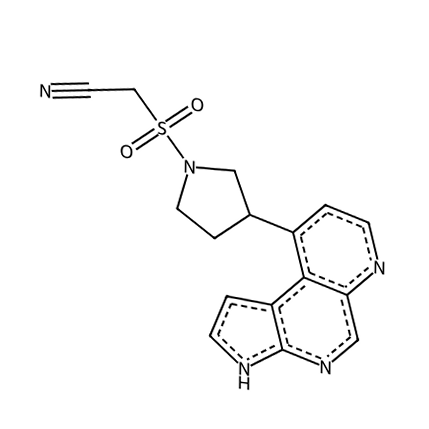 N#CCS(=O)(=O)N1CCC(c2ccnc3cnc4[nH]ccc4c23)C1